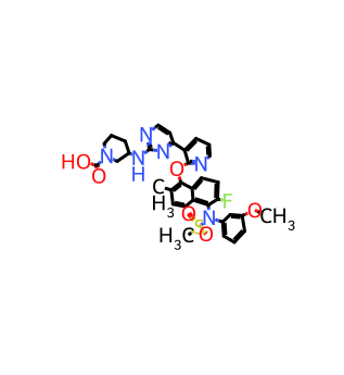 COc1cccc(N(c2c(F)ccc3c(Oc4ncccc4-c4ccnc(NC5CCCN(C(=O)O)C5)n4)c(C)ccc23)S(C)(=O)=O)c1